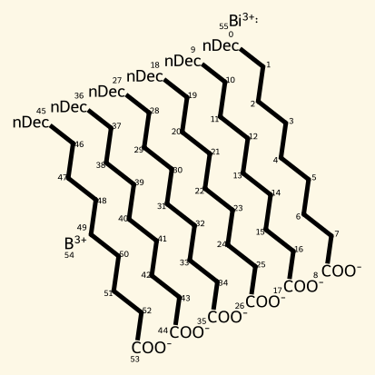 CCCCCCCCCCCCCCCCCC(=O)[O-].CCCCCCCCCCCCCCCCCC(=O)[O-].CCCCCCCCCCCCCCCCCC(=O)[O-].CCCCCCCCCCCCCCCCCC(=O)[O-].CCCCCCCCCCCCCCCCCC(=O)[O-].CCCCCCCCCCCCCCCCCC(=O)[O-].[B+3].[Bi+3]